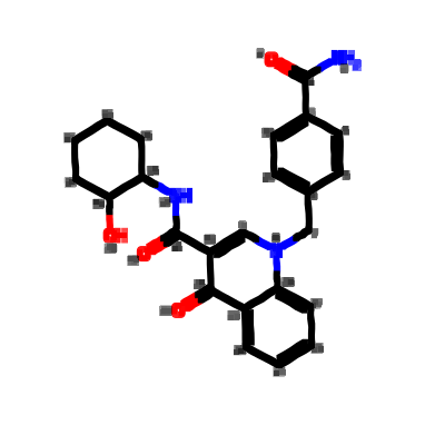 NC(=O)c1ccc(Cn2cc(C(=O)NC3CCCCC3O)c(=O)c3ccccc32)cc1